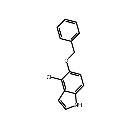 Clc1c(OCc2ccccc2)ccc2[nH]ccc12